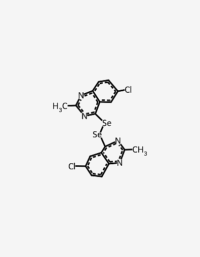 Cc1nc([Se][Se]c2nc(C)nc3ccc(Cl)cc23)c2cc(Cl)ccc2n1